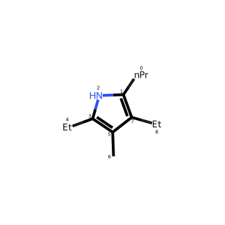 CCCc1[nH]c(CC)c(C)c1CC